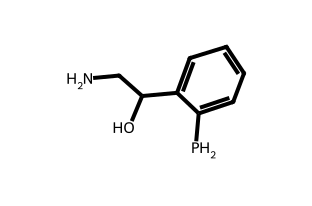 NCC(O)c1ccccc1P